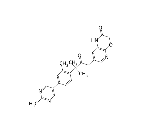 Cc1ncc(-c2ccc(C(C)(C)C(=O)Cc3cnc4c(c3)NC(=O)CO4)c(C)c2)cn1